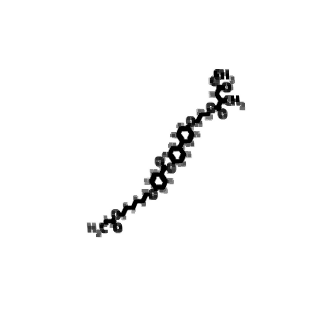 C=CC(=O)OCCCCCCOc1ccc(C(=O)Oc2ccc(-c3ccc(OCCCOC(=O)C(=C)CC(=O)OC)cc3)cc2)cc1